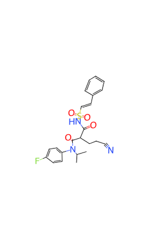 CC(C)N(C(=O)C(CCC#N)C(=O)NS(=O)(=O)C=Cc1ccccc1)c1ccc(F)cc1